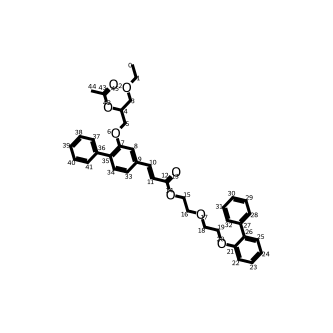 CCOCC(COc1cc(/C=C/C(=O)OCCOCCOc2ccccc2-c2ccccc2)ccc1-c1ccccc1)OC(C)=O